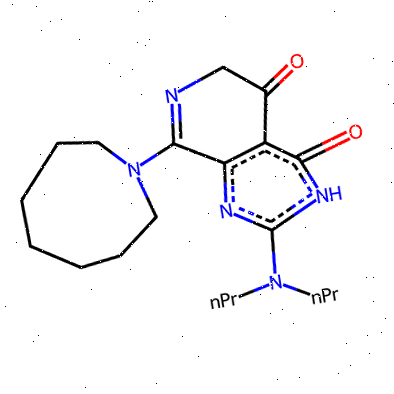 CCCN(CCC)c1nc2c(c(=O)[nH]1)C(=O)CN=C2N1CCCCCCC1